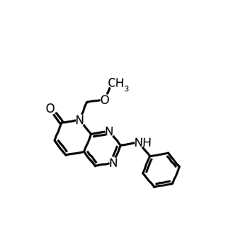 COCn1c(=O)ccc2cnc(Nc3ccccc3)nc21